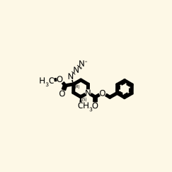 COC(=O)[C@@]1(N=[N+]=[N-])CCN(C(=O)OCc2ccccc2)[C@@H](C)C1